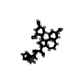 CC1(C)C2CC(CNC(=O)c3nn(-c4ccc(Cl)cc4Cl)c4c3CCCc3cc(Cl)ccc3-4)C1C2